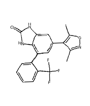 Cc1noc(C)c1-c1cc(-c2ccccc2C(F)(F)F)c2[nH]c(=O)[nH]c2c1